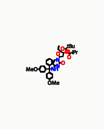 C=C[C@]1(OC(=O)C(C)(C)C)O[C@@H](n2ccc(NC(c3ccccc3)(c3ccc(OC)cc3)c3ccc(OC)cc3)nc2=O)C[C@@H]1OC(=O)C(C)C